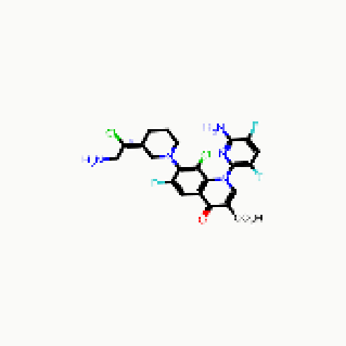 NC/C(Cl)=C1/CCCN(c2c(F)cc3c(=O)c(C(=O)O)cn(-c4nc(N)c(F)cc4F)c3c2Cl)C1